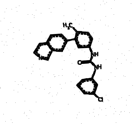 Cc1ccc(NC(=O)Nc2cccc(Cl)c2)cc1-c1ccc2ccncc2c1